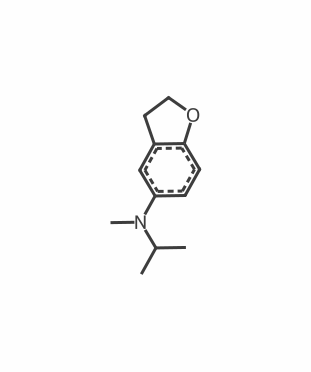 CC(C)N(C)c1ccc2c(c1)CCO2